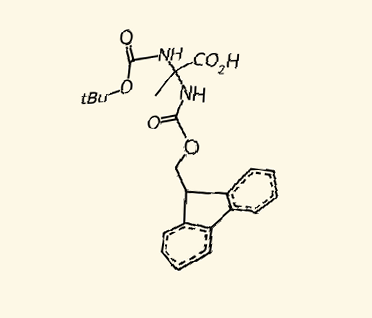 CC(C)(C)OC(=O)NC(C)(NC(=O)OCC1c2ccccc2-c2ccccc21)C(=O)O